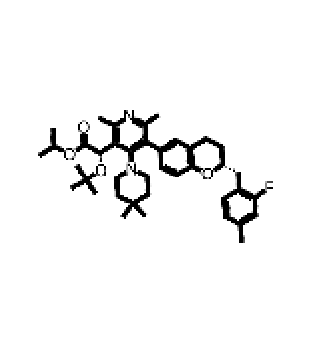 Cc1ccc(C[C@H]2CCc3cc(-c4c(C)nc(C)c([C@H](OC(C)(C)C)C(=O)OC(C)C)c4N4CCC(C)(C)CC4)ccc3O2)c(F)c1